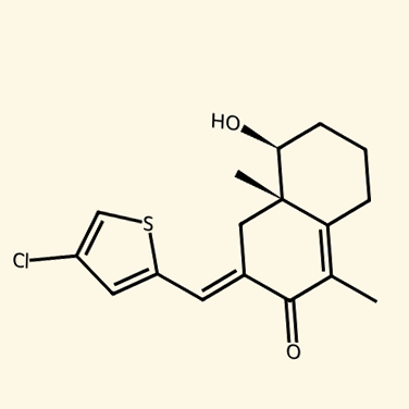 CC1=C2CCC[C@H](O)[C@@]2(C)C/C(=C\c2cc(Cl)cs2)C1=O